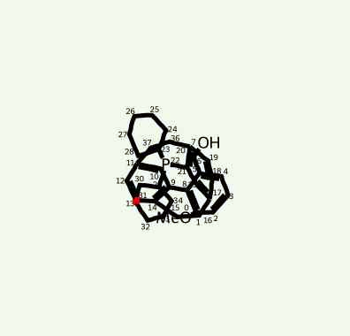 COc1cccc(CO)c1-c1cc2ccc1CCc1ccc(c(P(C3CCCCC3)C3CCCCC3)c1)CC2